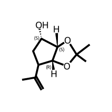 C=C(C)C1C[C@H](O)[C@@H]2OC(C)(C)O[C@H]12